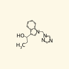 CCC(O)c1cn(Cn2cncn2)c2ccccc12